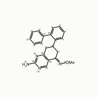 CON=C1CC(c2ccccc2-c2ccccc2)Cc2nc(N)ncc21